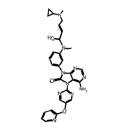 CN(C/C=C/C(O)N(C)c1cccc(-n2c(=O)n(-c3ncc(Oc4ccccn4)cn3)c3c(N)ncnc32)c1)C1CC1